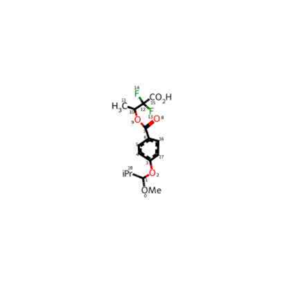 COC(Oc1ccc(C(=O)OC(C)C(F)(F)C(=O)O)cc1)C(C)C